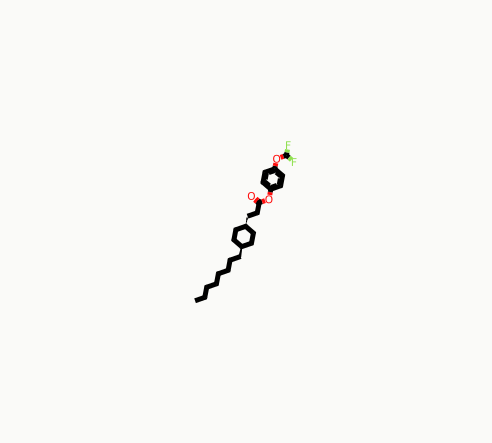 CCCCCCCC[C@H]1CC[C@H](CCC(=O)Oc2ccc(OC(F)F)cc2)CC1